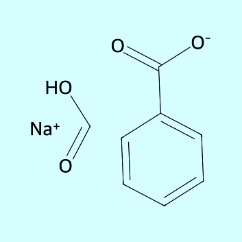 O=C([O-])c1ccccc1.O=CO.[Na+]